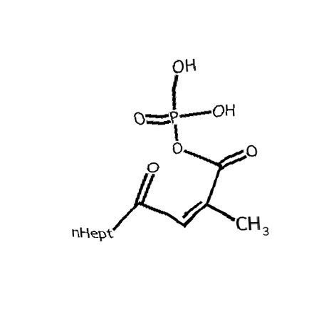 CCCCCCCC(=O)C=C(C)C(=O)OP(=O)(O)O